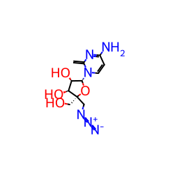 C=C1N=C(N)C=CN1[C@@H]1O[C@@](CO)(CN=[N+]=[N-])[C@@H](O)[C@H]1O